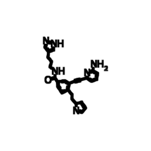 Nc1cccc(C#Cc2cc(C(=O)NCCCc3cn[nH]c3)ccc2CCC2C=CC=N2)n1